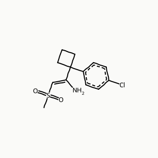 CS(=O)(=O)C=C(N)C1(c2ccc(Cl)cc2)CCC1